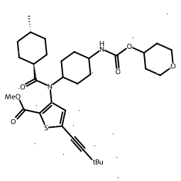 COC(=O)c1sc(C#CC(C)(C)C)cc1N(C(=O)[C@H]1CC[C@H](C)CC1)C1CCC(NC(=O)OC2CCOCC2)CC1